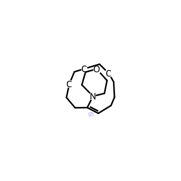 C1=C(\N2CCOCC2)CCCCCCCCCC/1